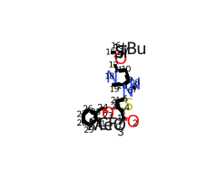 COC(=O)c1sc(-n2cnc3cc(CO[Si](C)(C)C(C)(C)C)ncc32)cc1OCc1ccccc1C(F)(F)F